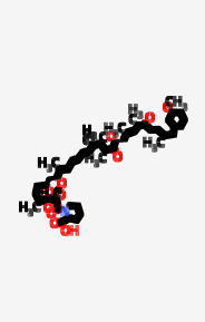 CO[C@H]1CCCC(C[C@@H](C)CCC(=O)[C@H](C)/C=C(\C)C[C@@H](OC)C(=O)[C@H](C)C[C@H](C)/C=C/C=C/C=C(\C)[C@H](C[C@@H]2CC[C@@H](C)[C@](O)(C(=O)C(=O)N3CCCCC3C(=O)O)O2)OC)C1